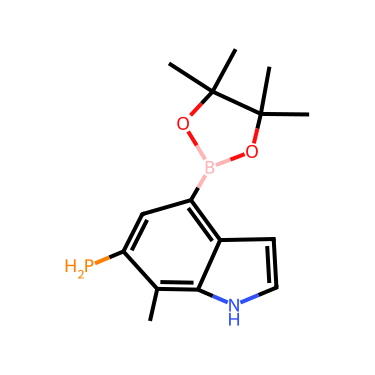 Cc1c(P)cc(B2OC(C)(C)C(C)(C)O2)c2cc[nH]c12